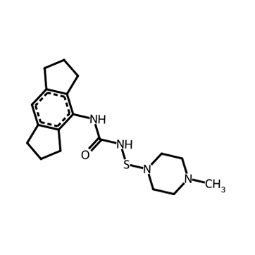 CN1CCN(SNC(=O)Nc2c3c(cc4c2CCC4)CCC3)CC1